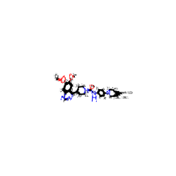 COc1cc2ncnc(C3CCN(C(=O)Nc4ccc(N5CCCCC5)cc4)CC3)c2cc1OC